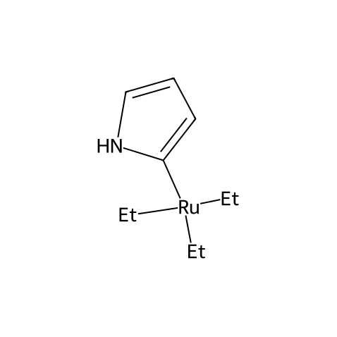 C[CH2][Ru]([CH2]C)([CH2]C)[c]1ccc[nH]1